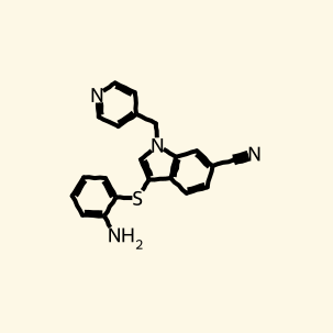 N#Cc1ccc2c(Sc3ccccc3N)cn(Cc3ccncc3)c2c1